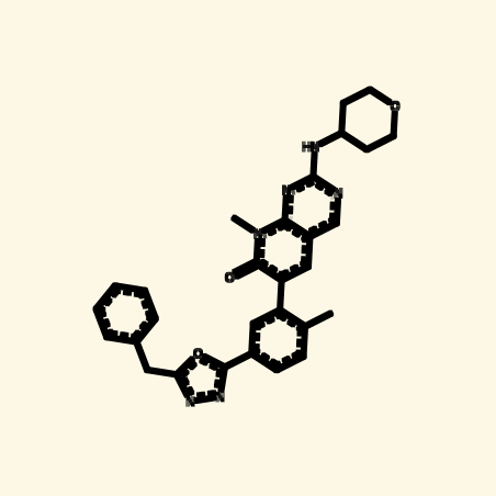 Cc1ccc(-c2nnc(Cc3ccccc3)o2)cc1-c1cc2cnc(NC3CCOCC3)nc2n(C)c1=O